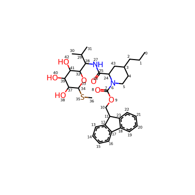 CCCC1CCN(C(=O)OCC2c3ccccc3-c3ccccc32)C(C(=O)NC(C(C)C)C2OC(SC)C(O)C(O)C2O)C1